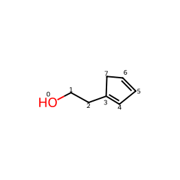 OCCC1=CC=CC1